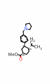 C=C(C)[C@@H]1CC[C@@H](C(=O)OC)C[C@H]1c1ccc(CN2CCCC2)cc1